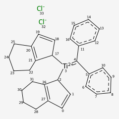 C1=C[CH]([Ti+2](=[C](c2ccccc2)c2ccccc2)[CH]2C=CC3=C2CCCC3)C2=C1CCCC2.[Cl-].[Cl-]